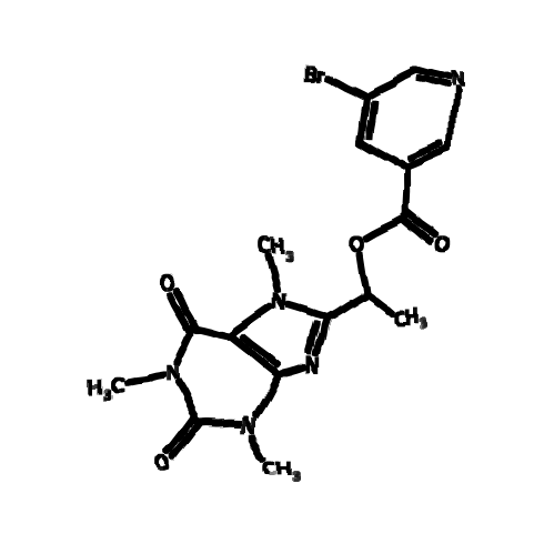 CC(OC(=O)c1cncc(Br)c1)c1nc2c(c(=O)n(C)c(=O)n2C)n1C